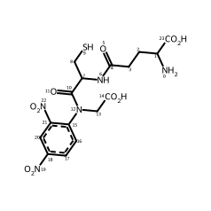 NC(CCC(=O)NC(CS)C(=O)N(CC(=O)O)c1ccc([N+](=O)[O-])cc1[N+](=O)[O-])C(=O)O